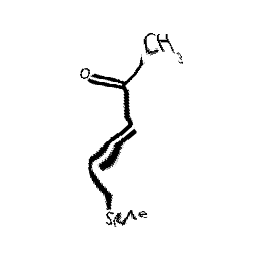 CSC=CC(C)=O